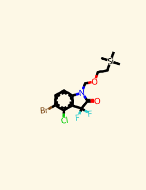 C[Si](C)(C)CCOCN1C(=O)C(F)(F)c2c1ccc(Br)c2Cl